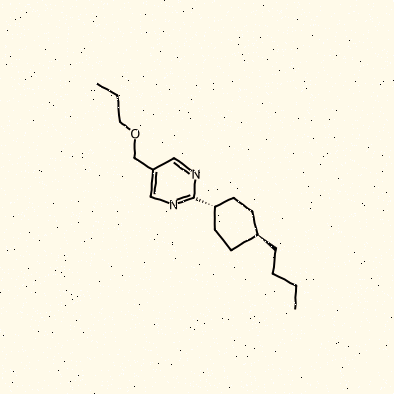 CCCC[C@H]1CC[C@H](c2ncc(COCCC)cn2)CC1